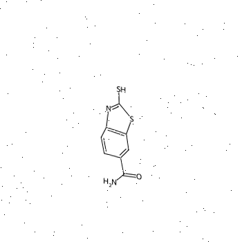 NC(=O)c1ccc2nc(S)sc2c1